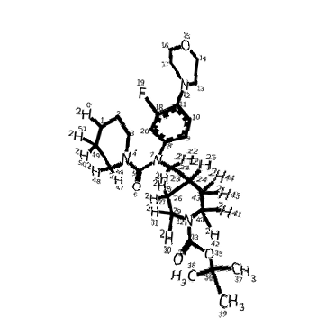 [2H]C1CCN(C(=O)N(c2ccc(N3CCOCC3)c(F)c2)C([2H])([2H])C2([2H])C([2H])([2H])C([2H])([2H])N(C(=O)OC(C)(C)C)C([2H])([2H])C2([2H])[2H])C([2H])([2H])C1([2H])[2H]